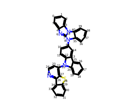 c1ccc2c(c1)nc1n(-c3ccc4c(c3)c3ccccc3n4-c3ccnc4c3sc3ccccc34)c3ccccc3n21